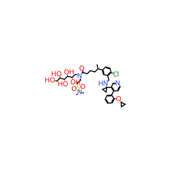 CC(CCCC(=O)N(CCS(=O)(=O)N(C)C)C[C@H](O)[C@@H](O)[C@H](O)[C@H](O)CO)c1ccc(Cl)c(CNC2(c3cnccc3-c3ccccc3OC3CC3)CC2)c1